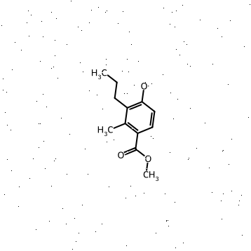 CCCc1c([O])ccc(C(=O)OC)c1C